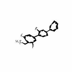 CCc1c(F)cc(-c2ccc(-c3ccccc3)cc2F)cc1F